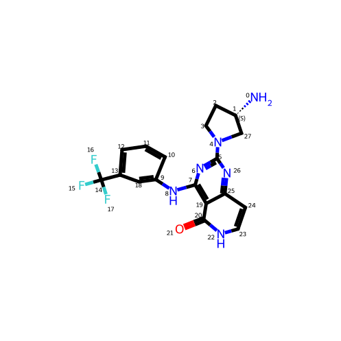 N[C@H]1CCN(c2nc(Nc3cccc(C(F)(F)F)c3)c3c(=O)[nH]ccc3n2)C1